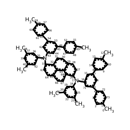 Cc1ccc(-c2cc(-c3ccc(C)cc3)cc(N(c3cc(C)cc(C)c3)c3ccc4ccc5c(N(c6cc(C)cc(C)c6)c6cc(-c7ccc(C)cc7)cc(-c7ccc(C)cc7)c6)ccc6ccc3c4c65)c2)cc1